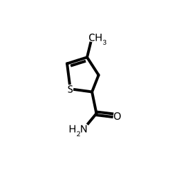 CC1=CSC(C(N)=O)C1